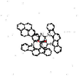 c1ccc(-n2c3ccccc3c3ccc4c5ccccc5n(-c5nc(-c6cc7ccc8cccc9ccc(c6)c7c89)nc(-n6c7ccccc7c7ccc8c9ccccc9n(-c9ccccc9)c8c76)n5)c4c32)cc1